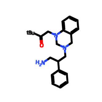 CC(C)(C)C(=O)CN1CN(CC(CN)c2ccccc2)Cc2ccccc21